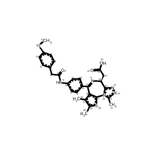 COc1ccc(CC(=O)Nc2ccc(C3=N[C@@H](CC(=O)O)c4nnc(C)n4-c4sc(C)c(C)c43)cc2)cc1